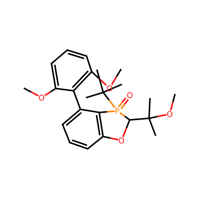 COc1cccc(OC)c1-c1cccc2c1P(=O)(C(C)(C)C)C(C(C)(C)OC)O2